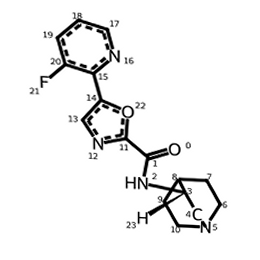 O=C(N[C@H]1CN2CCC1CC2)c1ncc(-c2ncccc2F)o1